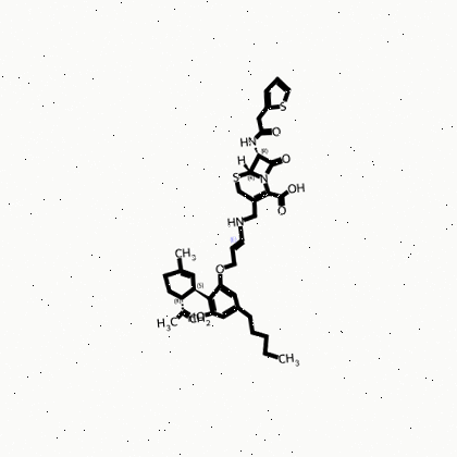 C=C(C)[C@@H]1CCC(C)=C[C@H]1c1c(O)cc(CCCCC)cc1OC/C=C/NCC1=C(C(=O)O)N2C(=O)[C@@H](NC(=O)Cc3cccs3)[C@H]2SC1